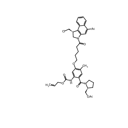 C=CCOC(=O)Nc1cc(OCCCCC(=O)N2C[C@@H](CCl)c3c2cc(C(C)=O)c2ccccc32)c(C)cc1C(=O)N1CCC[C@H]1COC(C)=O